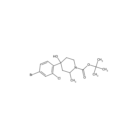 CC1CC(O)(c2ccc(Br)cc2Cl)CCN1C(=O)OC(C)(C)C